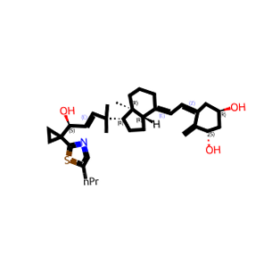 C=C1/C(=C\C=C2/CCC[C@]3(C)[C@@H](C(C)(C)/C=C/[C@H](O)C4(c5ncc(CCC)s5)CC4)CC[C@@H]23)C[C@@H](O)C[C@@H]1O